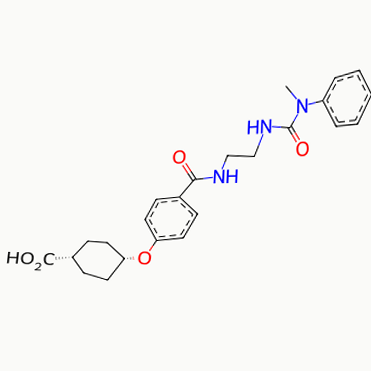 Cc1ccc(N(C)C(=O)NCCNC(=O)c2ccc(O[C@H]3CC[C@@H](C(=O)O)CC3)cc2)cc1